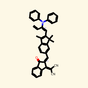 C=C/C(=C\C1=C(C)c2ccc(/C=C3\C(=O)c4ccccc4C3=C(C#N)C#N)cc2C1(C)C)N(c1ccccc1)c1ccccc1